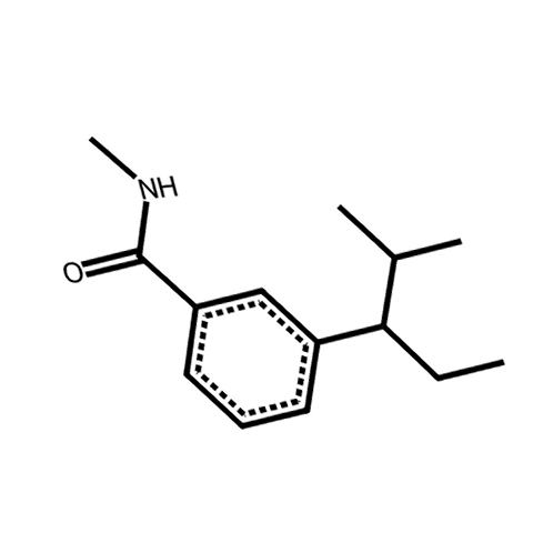 CCC(c1cccc(C(=O)NC)c1)C(C)C